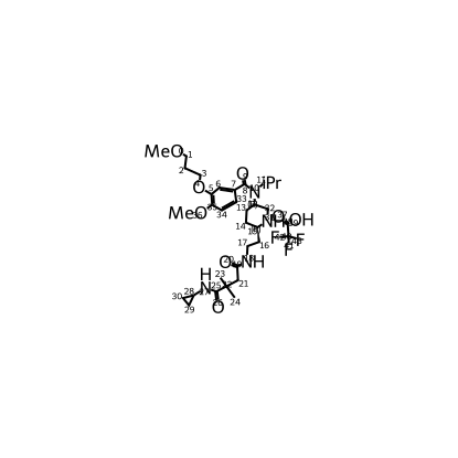 COCCCOc1cc(C(=O)N(C(C)C)[C@@H]2CC[C@H](CCNC(=O)CC(C)(C)C(=O)NC3CC3)NC2)ccc1OC.O=C(O)C(F)(F)F